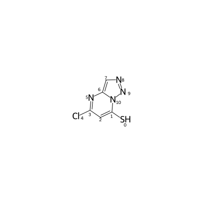 Sc1cc(Cl)nc2cnnn12